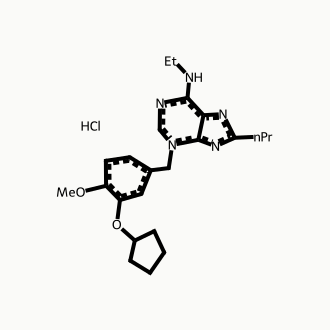 CCCc1nc2c(NCC)ncn(Cc3ccc(OC)c(OC4CCCC4)c3)c-2n1.Cl